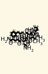 CC(C)[C@H](NC(=O)[C@@H]1CCCN1)C(=O)N(NC(=O)[C@H](CC(N)=O)NC(=O)[C@@H](N)CCC(N)=O)[C@H](C(=O)NCCCc1ccccc1)C(C)C